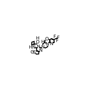 [O-][S@+]1CCc2nc(N3CCN4c5ncc(C(F)(F)F)cc5OC[C@@H]4C3)nc(NC3(CO)CCC3)c21